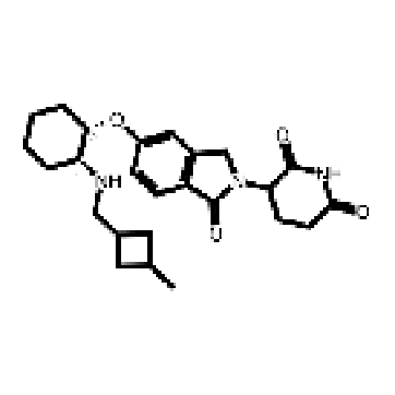 CC1CC(CN[C@H]2CCCC[C@@H]2Oc2ccc3c(c2)CN(C2CCC(=O)NC2=O)C3=O)C1